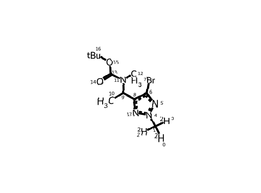 [2H]C([2H])([2H])n1nc(Br)c(C(C)N(C)C(=O)OC(C)(C)C)n1